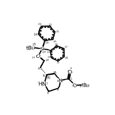 CC(C)(C)OC(=O)N1CCN[C@H](CCO[Si](c2ccccc2)(c2ccccc2)C(C)(C)C)C1